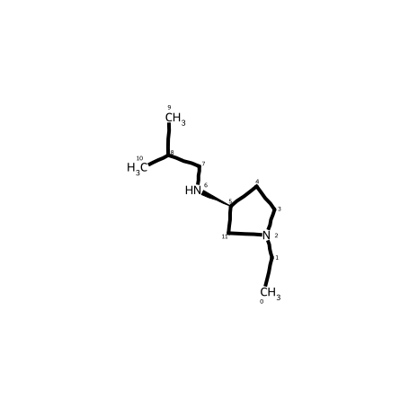 CCN1CC[C@H](NCC(C)C)C1